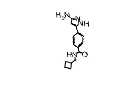 Nc1cc(-c2ccc(C(=O)NCC3CCC3)cc2)[nH]n1